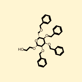 OCCO[C@@H]1O[C@H](COCc2ccccc2)[C@@H](OCc2ccccc2)[C@H](OCc2ccccc2)[C@@H]1OCc1ccccc1